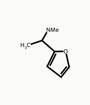 CNC(C)c1ccco1